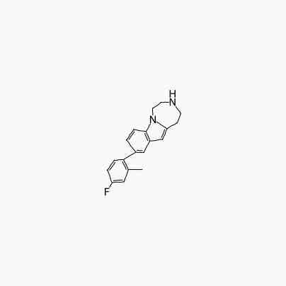 Cc1cc(F)ccc1-c1ccc2c(c1)cc1n2CCNCC1